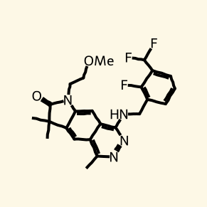 COCCN1C(=O)C(C)(C)c2cc3c(C)nnc(NCc4cccc(C(F)F)c4F)c3cc21